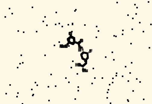 COc1cc(Cl)cc(C(=O)NC[C@H]2CCN(C[C@@H](O)C(C)(C)C)C[C@H]2F)c1